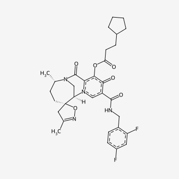 CC1=NO[C@@]2(CC[C@H](C)N3C[C@H]2n2cc(C(=O)NCc4ccc(F)cc4F)c(=O)c(OC(=O)CCC4CCCC4)c2C3=O)C1